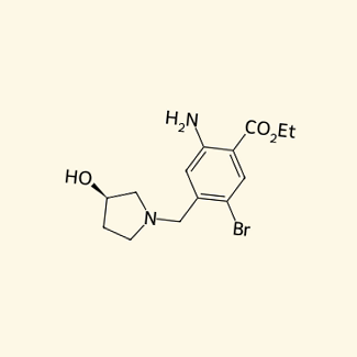 CCOC(=O)c1cc(Br)c(CN2CC[C@@H](O)C2)cc1N